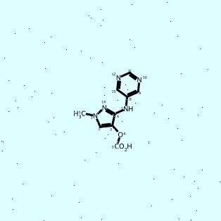 Cn1cc(OC(=O)O)c(Nc2cncnc2)n1